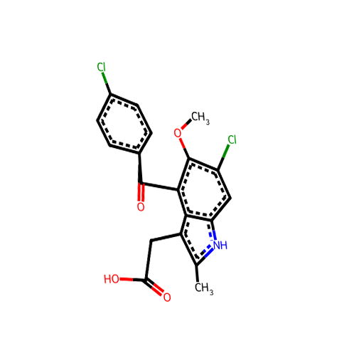 COc1c(Cl)cc2[nH]c(C)c(CC(=O)O)c2c1C(=O)c1ccc(Cl)cc1